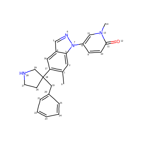 Cc1cc2c(cnn2-c2ccc(=O)n(C)c2)cc1C1(Cc2ccccc2)CCNC1